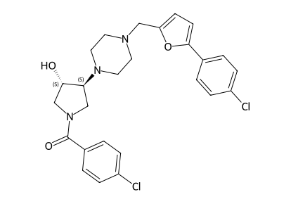 O=C(c1ccc(Cl)cc1)N1C[C@H](O)[C@@H](N2CCN(Cc3ccc(-c4ccc(Cl)cc4)o3)CC2)C1